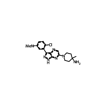 CNc1ccc(Cl)c(-c2n[nH]c3nc(N4CCC(C)(N)CC4)cnc23)c1